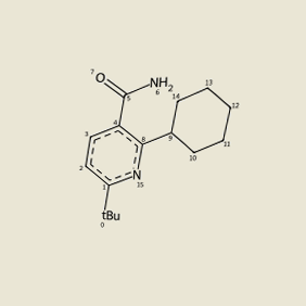 CC(C)(C)c1ccc(C(N)=O)c(C2CCCCC2)n1